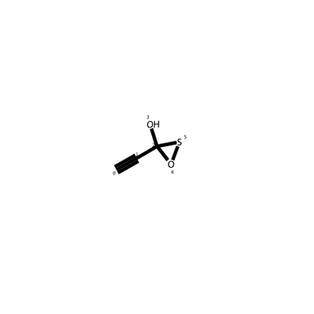 C#CC1(O)OS1